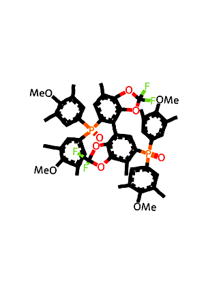 COc1c(C)cc(P(=O)(c2cc(C)c(OC)c(C)c2)c2cc(-c3c(P(=O)(c4cc(C)c(OC)c(C)c4)c4cc(C)c(OC)c(C)c4)cc(C)c4c3OC(F)(F)O4)c3c(c2C)OC(F)(F)O3)cc1C